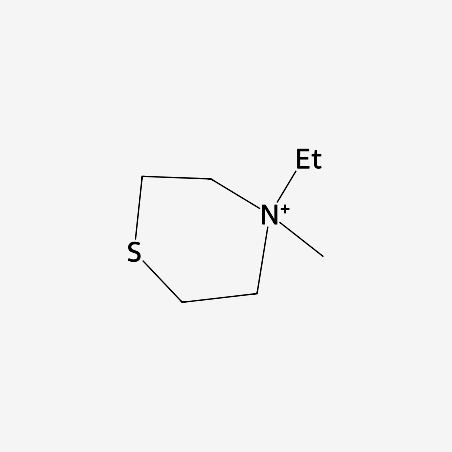 CC[N+]1(C)CCSCC1